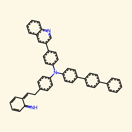 N=C1C=CC=C/C1=C/Cc1ccc(N(c2ccc(-c3ccc(-c4ccccc4)cc3)cc2)c2ccc(-c3cnc4ccccc4c3)cc2)cc1